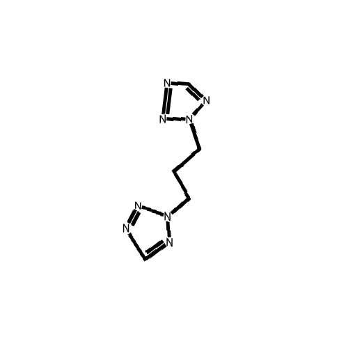 c1nnn(CCCn2ncnn2)n1